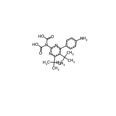 CC(C)(C)c1nc(N(C(=O)O)C(=O)O)nc(-c2ccc(N)cc2)c1C(C)(C)C